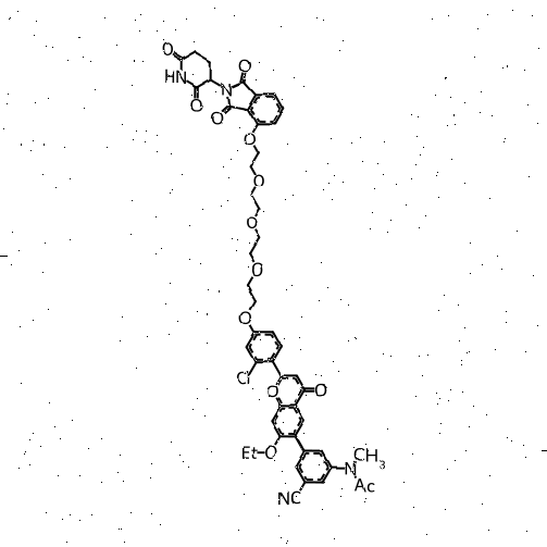 CCOc1cc2oc(-c3ccc(OCCOCCOCCOCCOc4cccc5c4C(=O)N(C4CCC(=O)NC4=O)C5=O)cc3Cl)cc(=O)c2cc1-c1cc(C#N)cc(N(C)C(C)=O)c1